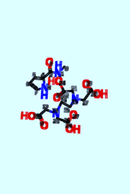 CNC(=O)c1ccc[nH]1.O=C(O)CN(CCN(CC(=O)O)CC(=O)O)CC(=O)O